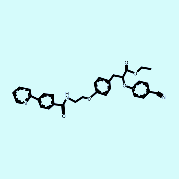 CCOC(=O)C(Cc1ccc(OCCNC(=O)c2ccc(-c3ccccn3)cc2)cc1)Oc1ccc(C#N)cc1